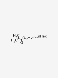 C=C(C)C(=O)O[CH]CCCCCCCCCC